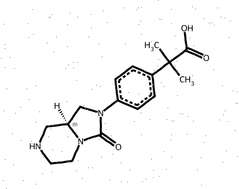 CC(C)(C(=O)O)c1ccc(N2C[C@@H]3CNCCN3C2=O)cc1